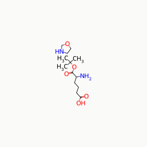 C1COCN1.CC(C)(C)OC(=O)C(N)CCCC(=O)O